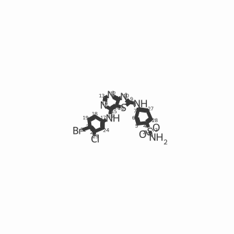 NS(=O)(=O)c1ccc(Nc2nc3ncnc(Nc4ccc(Br)c(Cl)c4)c3s2)cc1